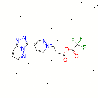 O=C(CC[n+]1ccc(-c2nnc3cccnn23)cn1)OC(=O)C(F)(F)F